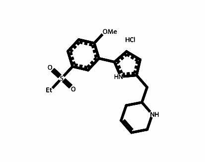 CCS(=O)(=O)c1ccc(OC)c(-c2ccc(CC3CC=CCN3)[nH]2)c1.Cl